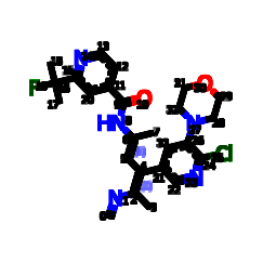 C=N/C(C)=C(\C=C(/C)NC(=O)c1ccnc(C(C)(C)F)c1)c1cnc(Cl)c(N2CCOCC2)c1